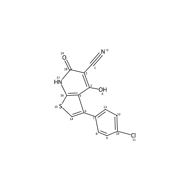 N#Cc1c(O)c2c(-c3ccc(Cl)cc3)csc2[nH]c1=O